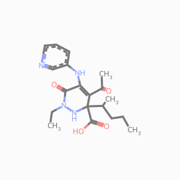 CCCC(C)C1(C(=O)O)NN(CC)C(=O)C(Nc2cccnc2)=C1C(C)=O